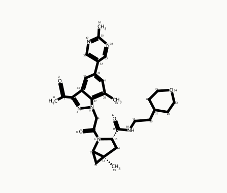 CC(=O)c1nn(CC(=O)N2C3C[C@]3(C)C[C@H]2C(=O)NCCC2CCOCC2)c2c(C)cc(-c3cnc(C)nc3)cc12